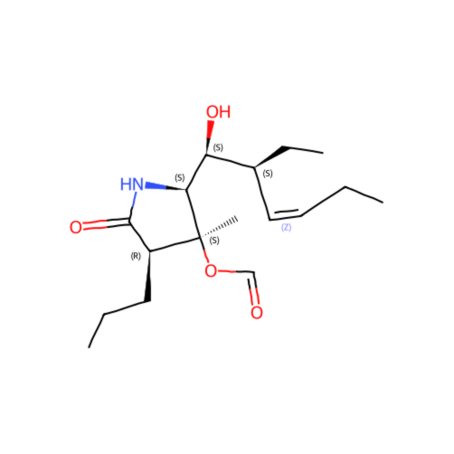 CC/C=C\[C@H](CC)[C@H](O)[C@@H]1NC(=O)[C@H](CCC)[C@]1(C)OC=O